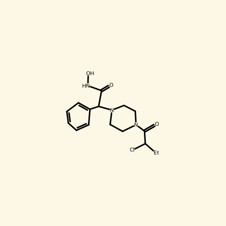 CCC(Cl)C(=O)N1CCN(C(C(=O)NO)c2ccccc2)CC1